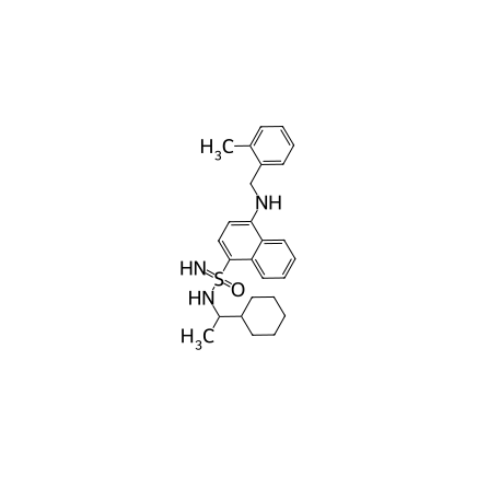 Cc1ccccc1CNc1ccc(S(=N)(=O)NC(C)C2CCCCC2)c2ccccc12